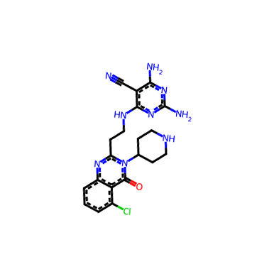 N#Cc1c(N)nc(N)nc1NCCc1nc2cccc(Cl)c2c(=O)n1C1CCNCC1